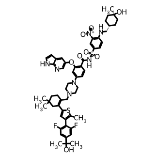 Cc1sc(C2=C(CN3CCN(c4ccc(C(=O)NS(=O)(=O)c5ccc(NC[C@H]6CC[C@](C)(O)CC6)c([N+](=O)[O-])c5)c(Oc5cnc6[nH]ccc6c5)c4)CC3)CCC(C)(C)C2)cc1-c1c(F)cc(C(C)(C)O)cc1F